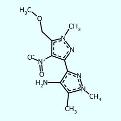 COCc1c([N+](=O)[O-])c(-c2nn(C)c(C)c2N)nn1C